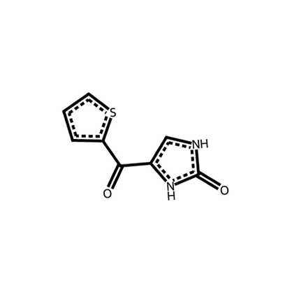 O=C(c1c[nH]c(=O)[nH]1)c1cccs1